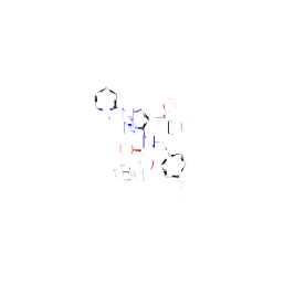 CCC(=O)c1cn(-c2ccccn2)nc1N(Cc1ccc(F)cc1)C(=O)OC(C)(C)C